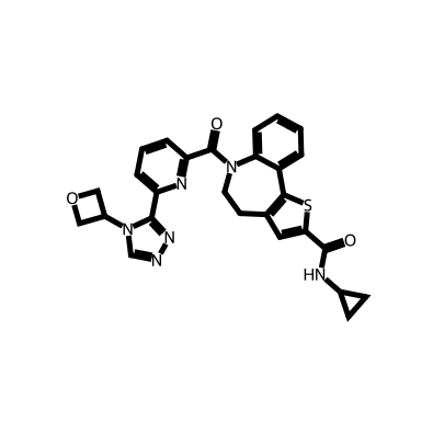 O=C(NC1CC1)c1cc2c(s1)-c1ccccc1N(C(=O)c1cccc(-c3nncn3C3COC3)n1)CC2